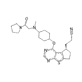 CN(CC(=O)N1CCCC1)C1CCC(Oc2ncnc3sc4c(c23)[C@@H](CCC#N)CC4)CC1